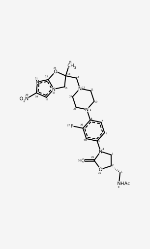 CC(=O)NC[C@H]1CN(c2ccc(N3CCN(CC4(C)Cn5cc([N+](=O)[O-])nc5O4)CC3)c(F)c2)C(=O)O1